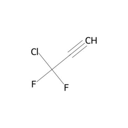 C#CC(F)(F)Cl